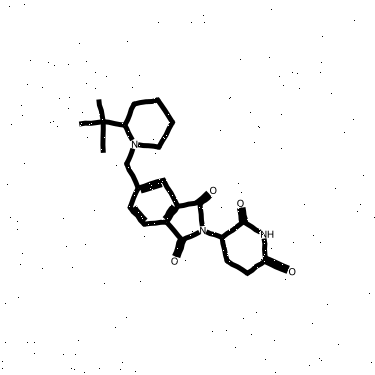 CC(C)(C)C1CCCCN1Cc1ccc2c(c1)C(=O)N(C1CCC(=O)NC1=O)C2=O